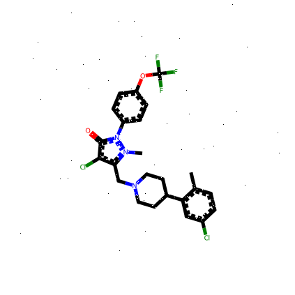 Cc1ccc(Cl)cc1C1CCN(Cc2c(Cl)c(=O)n(-c3ccc(OC(F)(F)F)cc3)n2C)CC1